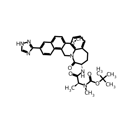 COc1ccc2cc(-c3nc[nH]n3)ccc2c1CN1C(=O)[C@@H](NC(=O)[C@H](C)N(C)C(=O)OC(C)(C)C)CCc2ccccc21